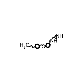 CCCCc1ccc(COc2cccc(CNCC3CNC3)c2)cc1